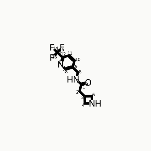 O=C(CC1CNC1)NCc1ccc(C(F)(F)F)nc1